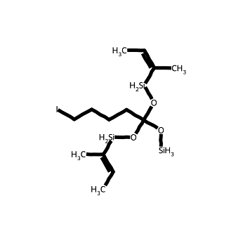 CC=C(C)[SiH2]OC(CCCCI)(O[SiH3])O[SiH2]C(C)=CC